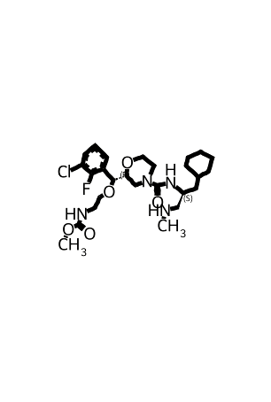 CNC[C@H](CC1CCCCC1)NC(=O)N1CCO[C@@H](C(OCCNC(=O)OC)c2cccc(Cl)c2F)C1